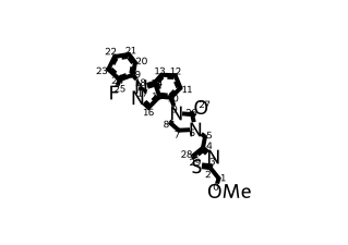 COCc1nc(CN2CCN(c3cccc4c3cnn4-c3ccccc3F)C2=O)cs1